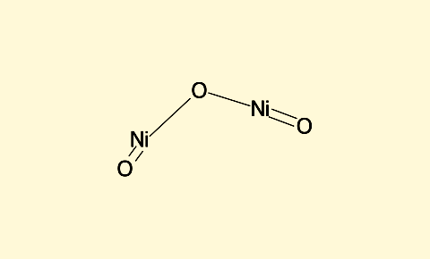 [O]=[Ni][O][Ni]=[O]